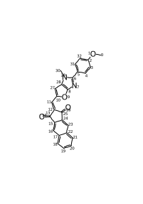 COc1ccc(-c2nc3oc(C=C4C(=O)c5cc6ccccc6cc5C4=O)cc3n2C)cc1